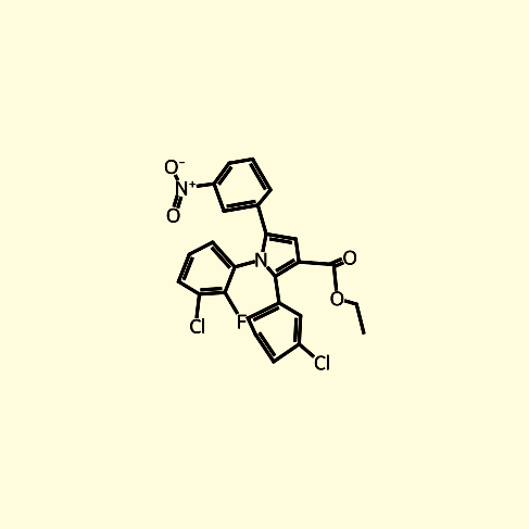 CCOC(=O)c1cc(-c2cccc([N+](=O)[O-])c2)n(-c2cccc(Cl)c2F)c1-c1cccc(Cl)c1